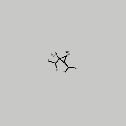 CC(Cl)C1CC1(N)C(C)Cl.Cl